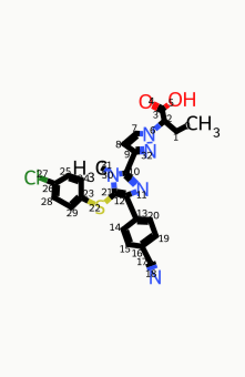 CCC(C(=O)O)n1ccc(-c2nc(-c3ccc(C#N)cc3)c(Sc3ccc(Cl)cc3)n2C)n1